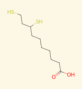 O=C(O)CCCCCCC(S)CCS